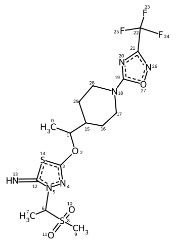 CC(Oc1nn(C(C)S(C)(=O)=O)c(=N)s1)C1CCN(c2nc(C(F)(F)F)no2)CC1